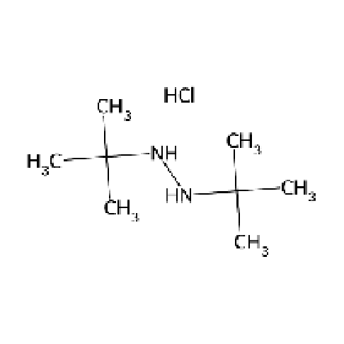 CC(C)(C)NNC(C)(C)C.Cl